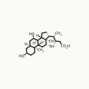 C[C@H](CCC(=O)O)[C@H]1CC[C@H]2[C@@H]3[C@H](O)C[C@@H]4C[C@H](O)CC[C@]4(C)[C@H]3C[C@@H](S)[C@]12C